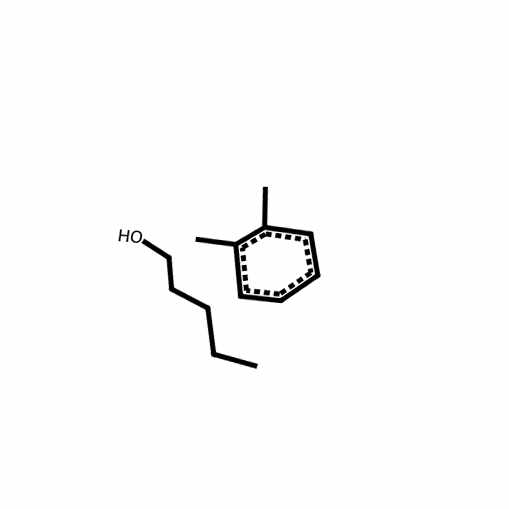 CCCCCO.Cc1ccccc1C